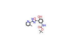 Cc1cccnc1-c1noc(-c2cc(NC(=O)OC(C)(C)C)ccc2O)n1